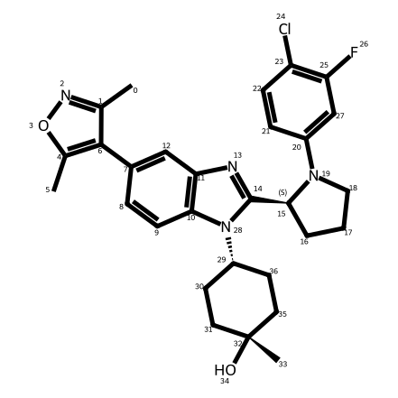 Cc1noc(C)c1-c1ccc2c(c1)nc([C@@H]1CCCN1c1ccc(Cl)c(F)c1)n2[C@H]1CC[C@@](C)(O)CC1